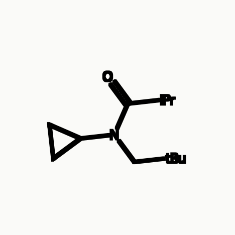 CC(C)C(=O)N(CC(C)(C)C)C1CC1